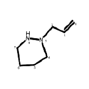 C=CCN1CCCCN1